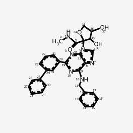 CNC(=O)C1(n2cnc3c(NCc4ccccc4)nc(-c4cccc(-c5ccccc5)c4)nc32)OCC(O)C1O